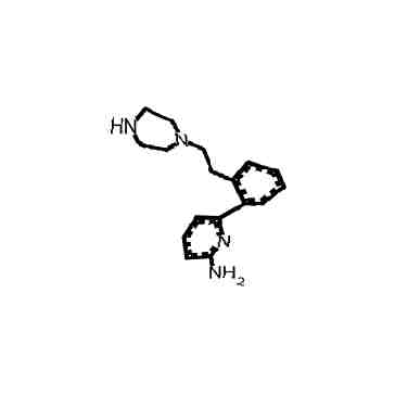 Nc1cccc(-c2ccccc2CCN2CCNCC2)n1